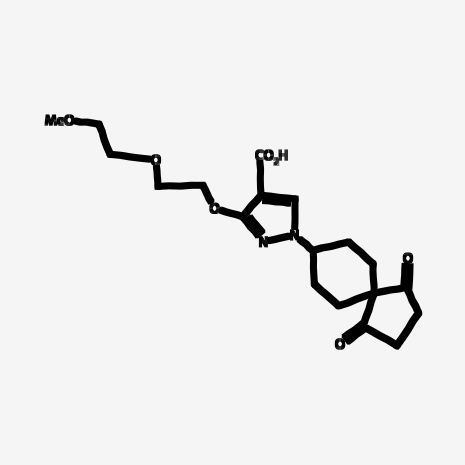 COCCOCCOc1nn(C2CCC3(CC2)C(=O)CCC3=O)cc1C(=O)O